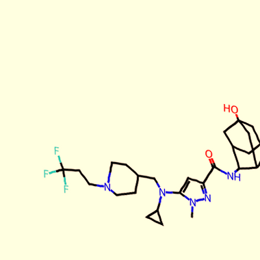 Cn1nc(C(=O)NC2C3CC4CC2CC(O)(C4)C3)cc1N(CC1CCN(CCC(F)(F)F)CC1)C1CC1